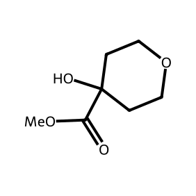 COC(=O)C1(O)CCOCC1